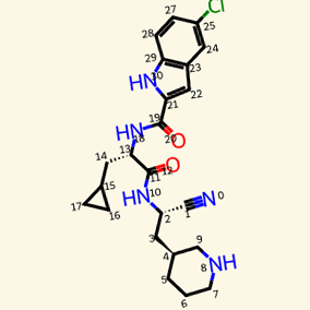 N#C[C@H](C[C@@H]1CCCNC1)NC(=O)[C@H](CC1CC1)NC(=O)c1cc2cc(Cl)ccc2[nH]1